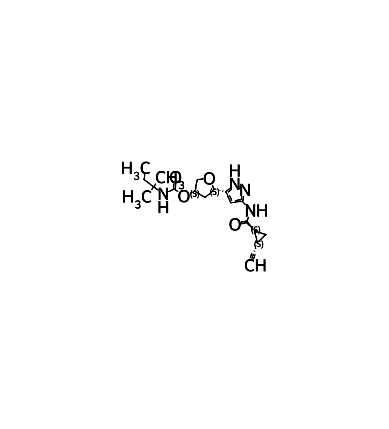 C#C[C@H]1C[C@@H]1C(=O)Nc1cc([C@@H]2C[C@H](OC(=O)NC(C)(C)CC)CO2)[nH]n1